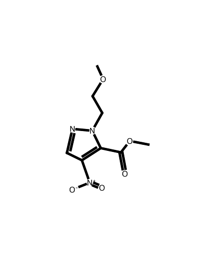 COCCn1ncc([N+](=O)[O-])c1C(=O)OC